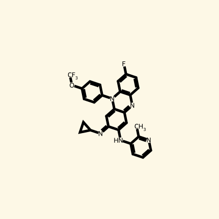 Cc1ncccc1Nc1cc2nc3ccc(F)cc3n(-c3ccc(OC(F)(F)F)cc3)c-2c/c1=N\C1CC1